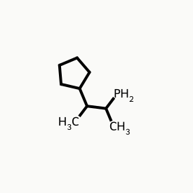 CC(P)C(C)C1CCCC1